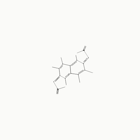 Cc1c(I)c2c(c3c(I)c(P)c4c(c13)OC(=O)C=4)OC(=O)C=2